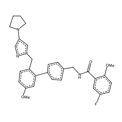 COc1ccc(Cn2cc(N3CCCC3)cn2)c(-c2ccc(CNC(=O)c3cc(F)ccc3OC)cc2)c1